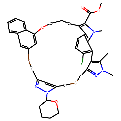 COC(=O)c1c2c3ccc(Cl)c(c3n1C)-c1c(nn(C)c1C)CSCc1cc(nn1C1CCCCO1)CSc1cc(c3ccccc3c1)OCCC2